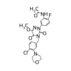 COc1nn(-c2ccc(F)c(NC(C)=O)c2)c(=O)n(Cc2ccc(Cl)c(N3CCOCC3)c2)c1=O